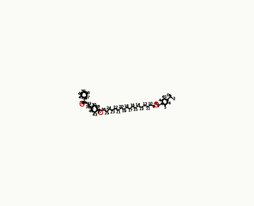 C=C(C)c1ccc(COCCCCCCCCCCCCCCCCCCOc2ccc(C=CC(=O)c3ccccc3)cc2)cc1